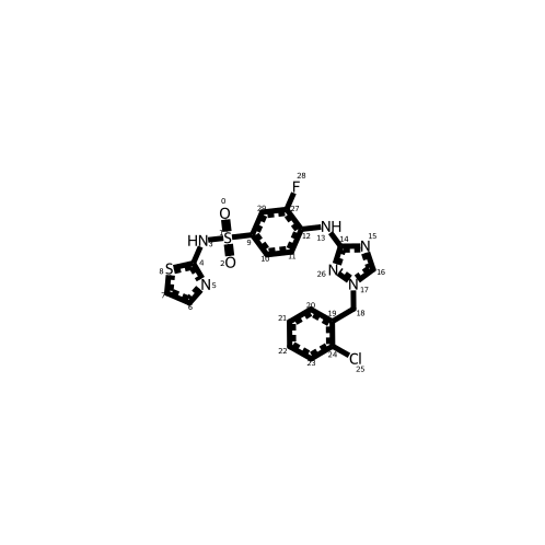 O=S(=O)(Nc1nccs1)c1ccc(Nc2ncn(Cc3ccccc3Cl)n2)c(F)c1